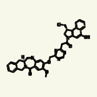 COc1cc2c(cc1OCc1ncnc(CC(=O)N3C[C@@H](CCl)c4c3cc(O)c3ccccc43)n1)N=C[C@@H]1Cc3ccccc3CN1C2=O